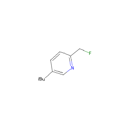 CCC(C)c1ccc(CF)nc1